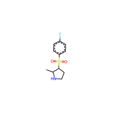 [CH2]C1NCC[C@@H]1S(=O)(=O)c1ccc(F)cc1